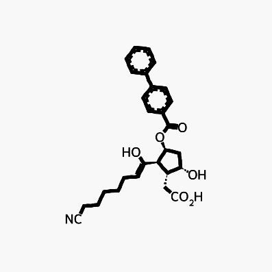 N#CCCCCCC=C(O)[C@@H]1[C@@H](CC(=O)O)[C@@H](O)C[C@@H]1OC(=O)c1ccc(-c2ccccc2)cc1